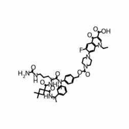 CCn1cc(C(=O)O)c(=O)c2cc(F)c(N3CCN(C(=O)OCc4ccc(NC(=O)[C@H](CCCNC(N)=O)NC(=O)C5(C(=O)N[C@H](C)c6ccccc6)CC(C)(C)C5)cc4)CC3)cc21